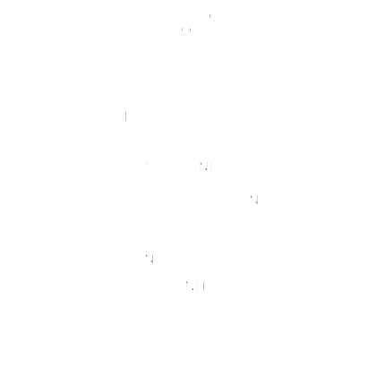 CN(C)c1cc2[nH]c(C3CCCCC3)nc2cc1NC(=O)c1ccc(OC(F)(F)F)cc1F